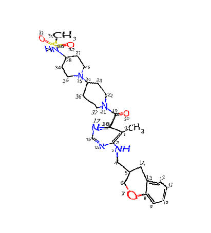 Cc1c(NCC2COc3ccccc3C2)ncnc1C(=O)N1CCC(N2CCC(NS(C)(=O)=O)CC2)CC1